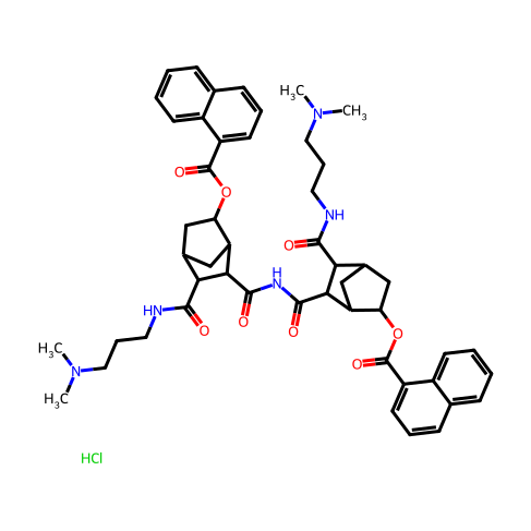 CN(C)CCCNC(=O)C1C2CC(OC(=O)c3cccc4ccccc34)C(C2)C1C(=O)NC(=O)C1C2CC(CC2OC(=O)c2cccc3ccccc23)C1C(=O)NCCCN(C)C.Cl